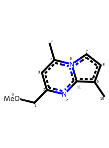 COCc1cc(C)n2ccc(C)c2n1